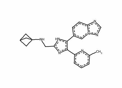 Cc1cccc(-c2nc(CNC34CC(C3)C4)[nH]c2-c2ccc3ncnn3c2)n1